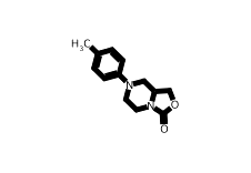 Cc1ccc(N2CCN3C(=O)OCC3C2)cc1